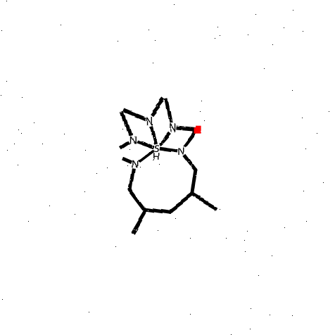 CC1CC(C)CN(C)[SH](N(C)C)(N(C)C)(N(C)C)N(C)C1